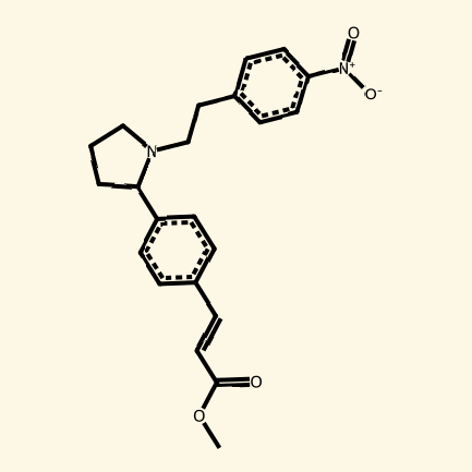 COC(=O)C=Cc1ccc(C2CCCN2CCc2ccc([N+](=O)[O-])cc2)cc1